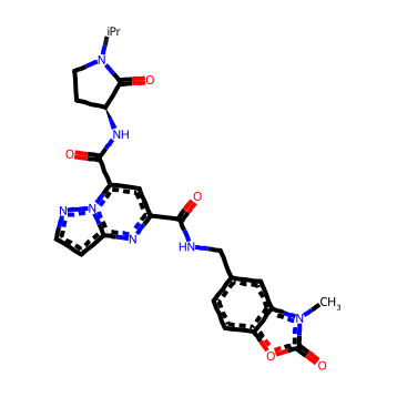 CC(C)N1CC[C@H](NC(=O)c2cc(C(=O)NCc3ccc4oc(=O)n(C)c4c3)nc3ccnn23)C1=O